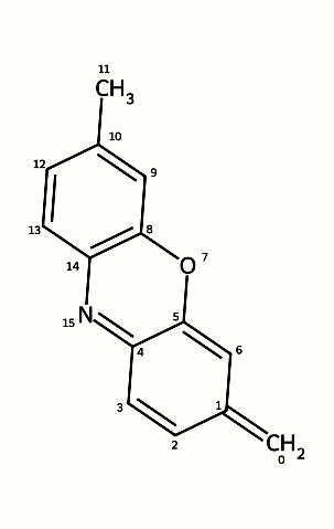 C=c1ccc2c(c1)Oc1cc(C)ccc1N=2